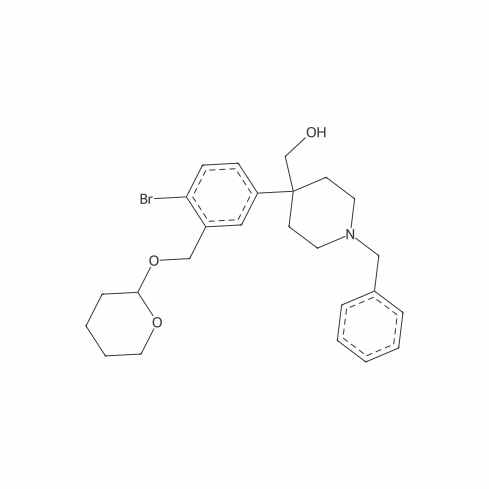 OCC1(c2ccc(Br)c(COC3CCCCO3)c2)CCN(Cc2ccccc2)CC1